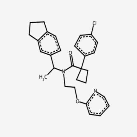 CC(c1ccc2c(c1)CCC2)N(CCOc1ccccn1)C(=O)C1(c2ccc(Cl)cc2)CCC1